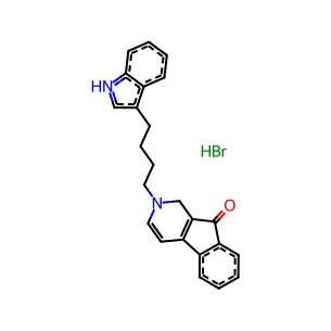 Br.O=C1C2=C(C=CN(CCCCc3c[nH]c4ccccc34)C2)c2ccccc21